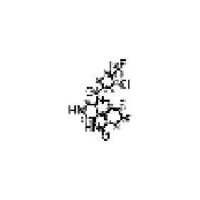 CN(C(=O)c1cnc(C(F)(F)F)c(Cl)c1)C1CNCc2[nH]c(=O)c3cc(F)c(F)cc3c21